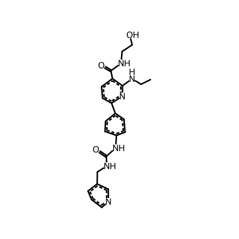 CCNc1nc(-c2ccc(NC(=O)NCc3cccnc3)cc2)ccc1C(=O)NCCO